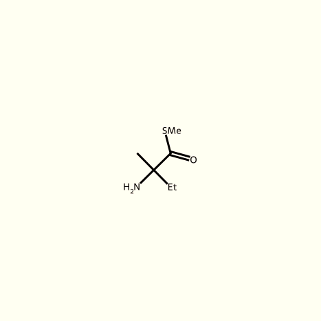 CCC(C)(N)C(=O)SC